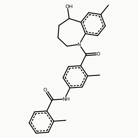 Cc1ccc2c(c1)C(O)CCCN2C(=O)c1ccc(NC(=O)c2ccccc2C)cc1C